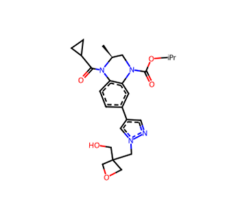 CC(C)OC(=O)N1C[C@H](C)N(C(=O)C2CC2)c2ccc(-c3cnn(CC4(CO)COC4)c3)cc21